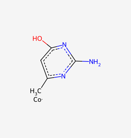 Cc1cc(O)nc(N)n1.[Co]